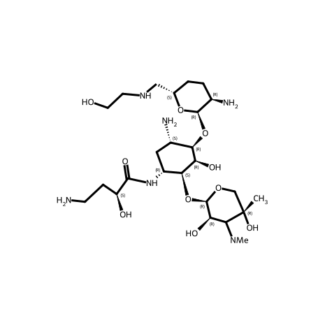 CNC1[C@@H](O)[C@@H](O[C@@H]2[C@H](O)[C@H](O[C@H]3O[C@H](CNCCO)CC[C@H]3N)[C@@H](N)C[C@H]2NC(=O)[C@@H](O)CCN)OC[C@]1(C)O